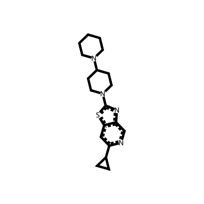 c1nc(C2CC2)cc2sc(N3CCC(N4CCCCC4)CC3)nc12